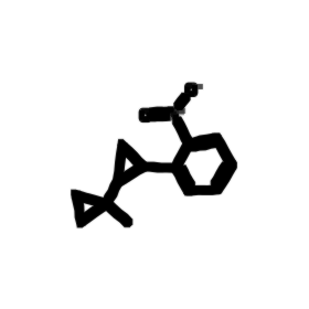 CC1(C2CC2c2ccccc2[N+](=O)[O-])CC1